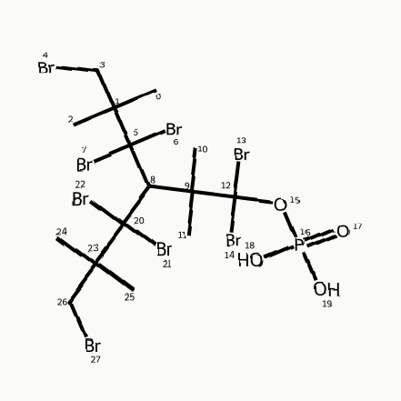 CC(C)(CBr)C(Br)(Br)C(C(C)(C)C(Br)(Br)OP(=O)(O)O)C(Br)(Br)C(C)(C)CBr